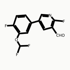 O=Cc1cc(-c2ccc(F)c(OC(F)F)c2)cnc1F